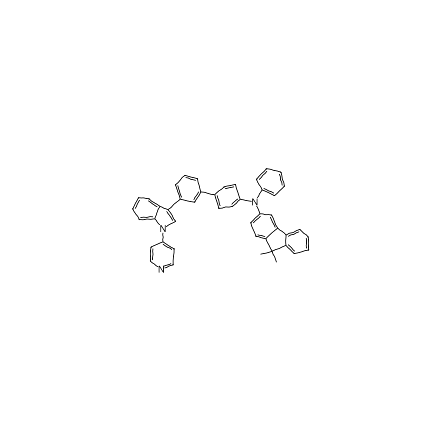 CC1(C)c2ccccc2-c2cc(N(c3ccccc3)c3ccc(-c4cccc(-c5cn(-c6ccncc6)c6ccccc56)c4)cc3)ccc21